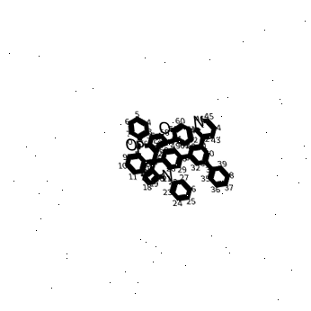 O=P1(c2ccccc2)c2ccccc2C2(c3ccccc3N(c3ccccc3)c3cc(-c4cc(-c5ccccc5)cc(-c5cccnc5)c4)ccc32)c2cc3c(cc21)oc1ccccc13